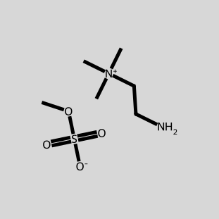 COS(=O)(=O)[O-].C[N+](C)(C)CCN